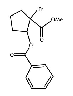 COC(=O)C1(C(C)C)CCCC1OC(=O)c1ccccc1